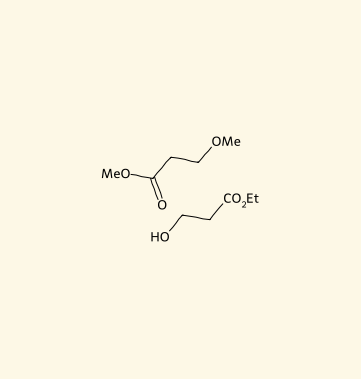 CCOC(=O)CCO.COCCC(=O)OC